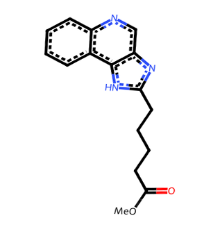 COC(=O)CCCCc1nc2cnc3ccccc3c2[nH]1